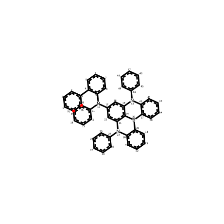 c1ccc(-c2ccccc2N(c2ccccc2)c2cc3c4c(c2)N(c2ccccc2)c2ccccc2B4c2ccccc2N3c2ccccc2)cc1